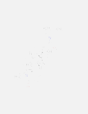 CCN(CC)C(=O)[C@H]1CC[C@H]2[C@@H]3CC=C4N(C)C(=O)CC[C@]4(C)[C@H]3CC[C@]12C